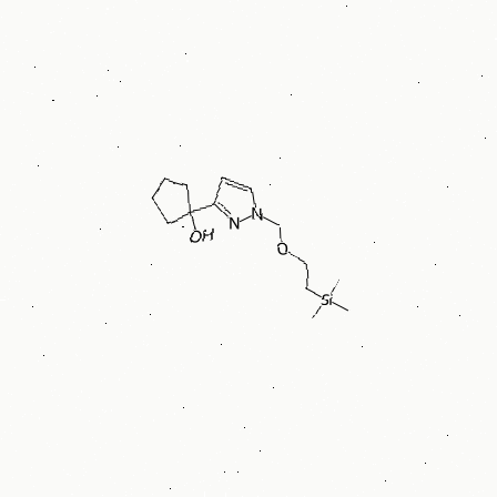 C[Si](C)(C)CCOCn1ccc(C2(O)CCCC2)n1